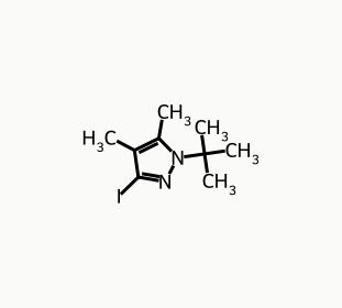 Cc1c(I)nn(C(C)(C)C)c1C